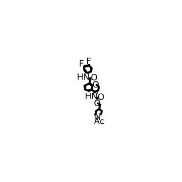 CC(=O)N1CCC(COC(=O)N[C@H]2CCOc3c(C(=O)Nc4ccc(F)c(F)c4)cccc32)CC1